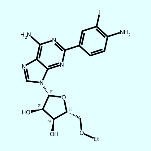 CCOC[C@H]1O[C@@H](n2cnc3c(N)nc(-c4ccc(N)c(I)c4)nc32)[C@H](O)[C@@H]1O